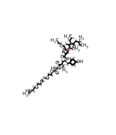 CCCO[C@H](CC(C(C)C)N(CCC)C(=O)C[C@@H](C)CC)c1nc(C(=O)N[C@@H](Cc2ccc(O)cc2)C[C@H](C)C(=O)NNC(=O)OCCOCCOCCOCCNC)cs1